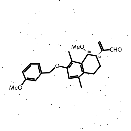 C=C(C=O)[C@@H]1CCc2c(C)cc(OCc3cccc(OC)c3)c(C)c2[C@@H]1OC